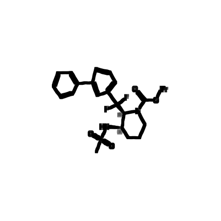 CC(C)OC(=O)N1CCC[C@@H](NS(C)(=O)=O)[C@H]1C(F)(F)c1cccc(-c2ccccc2)c1